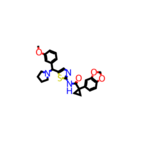 COc1cccc(C(c2cnc(NC(=O)C3(c4ccc5c(c4)OCO5)CC3)s2)N2CCCC2)c1